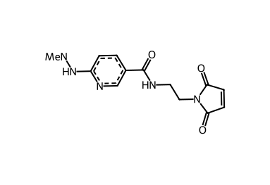 CNNc1ccc(C(=O)NCCN2C(=O)C=CC2=O)cn1